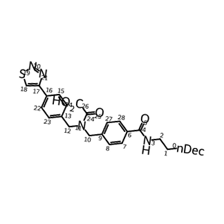 CCCCCCCCCCCCNC(=O)c1ccc(CN(Cc2ccc(-c3csnn3)cc2)C(=O)C(=O)O)cc1